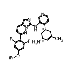 CC1=C[C@H](N)C[C@H](c2ccncc2Nc2ncc3ccc(-c4c(F)cc(OC(C)C)cc4F)nn23)C1